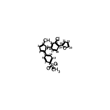 Cc1ccc(-c2ccc(S(C)(=O)=O)cc2)n1-c1ccc(-c2ccco2)c(Cl)c1